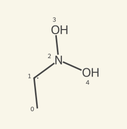 C[CH]N(O)O